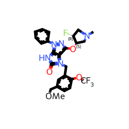 COCc1ccc(OC(F)(F)F)c(Cn2c(=O)[nH]c3c2c(O[C@H]2CN(C)C[C@H]2F)nn3-c2ccccc2)c1